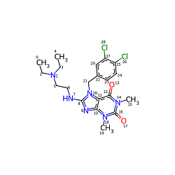 CCN(CC)CCNc1nc2c(c(=O)n(C)c(=O)n2C)n1Cc1ccc(Cl)c(Cl)c1